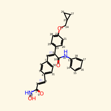 O=C(/C=C/c1ccc(/C=C(\C(=O)Nc2ccccc2)c2ccc(OCC3CC3)cc2)cc1)NO